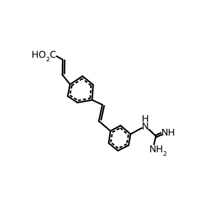 N=C(N)Nc1cccc(C=Cc2ccc(C=CC(=O)O)cc2)c1